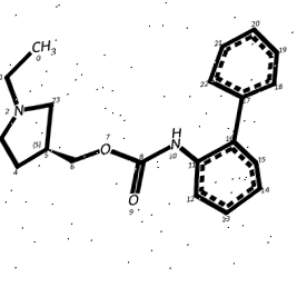 CCN1CC[C@H](COC(=O)Nc2ccccc2-c2ccccc2)C1